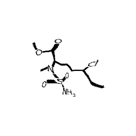 CCC(Cl)CCC(C(=O)OC)N(C)S(N)(=O)=O